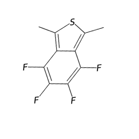 Cc1sc(C)c2c(F)c(F)c(F)c(F)c12